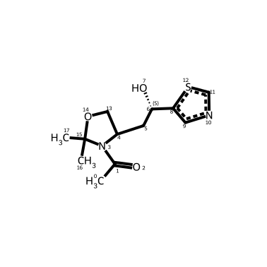 CC(=O)N1C(C[C@H](O)c2cncs2)COC1(C)C